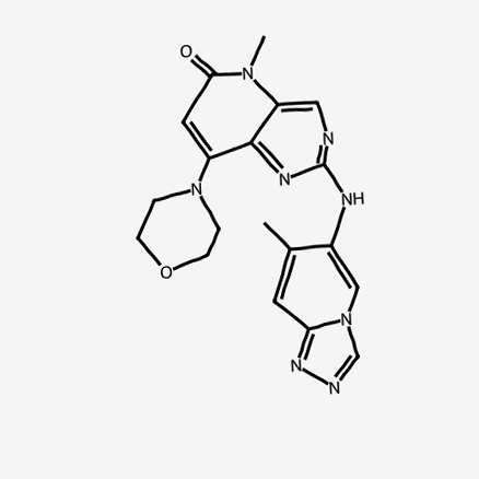 Cc1cc2nncn2cc1Nc1ncc2c(n1)c(N1CCOCC1)cc(=O)n2C